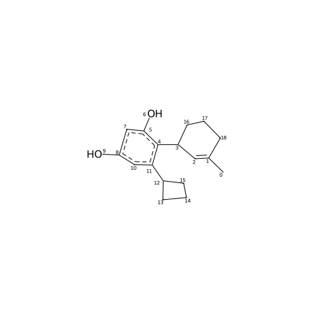 CC1=CC(c2c(O)cc(O)cc2C2CCC2)CCC1